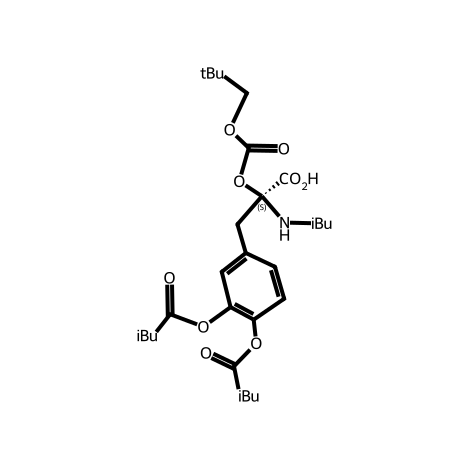 CCC(C)N[C@@](Cc1ccc(OC(=O)C(C)CC)c(OC(=O)C(C)CC)c1)(OC(=O)OCC(C)(C)C)C(=O)O